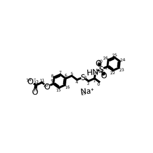 CC(CSCCc1ccc(OCC(=O)[O-])cc1)NS(=O)(=O)c1ccccc1.[Na+]